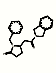 O=C(CC1CCC(=O)N1Cc1ccccc1)N1Cc2ccccc2C1